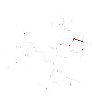 Cc1cc(C)c(Cc2c(-c3cc(C(C)(C)C)c(O)c(C(C)(C)C)c3)cc(-c3cc(C(C)(C)C)c(O)c(C(C)(C)C)c3)cc2-c2cc(C(C)(C)C)c(O)c(C(C)(C)C)c2)c(C)c1